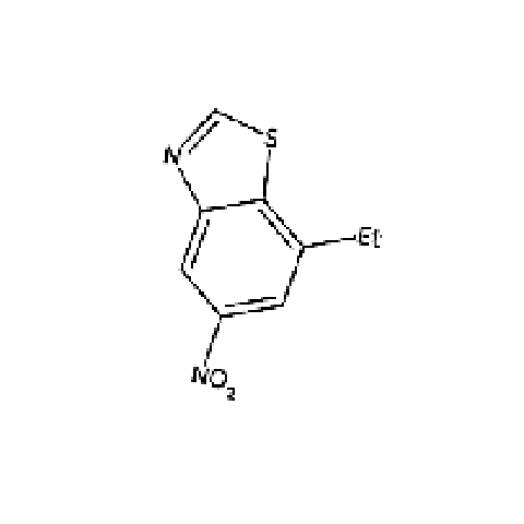 CCc1cc([N+](=O)[O-])cc2ncsc12